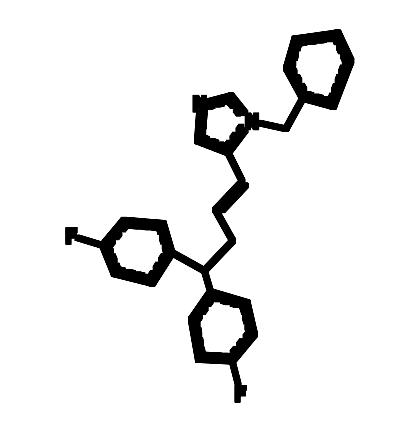 Fc1ccc(C(CC=Cc2cncn2Cc2ccccc2)c2ccc(F)cc2)cc1